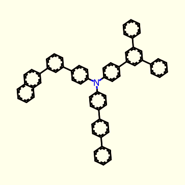 c1ccc(-c2ccc(-c3ccc(N(c4ccc(-c5cccc(-c6ccc7ccccc7c6)c5)cc4)c4ccc(-c5cc(-c6ccccc6)cc(-c6ccccc6)c5)cc4)cc3)cc2)cc1